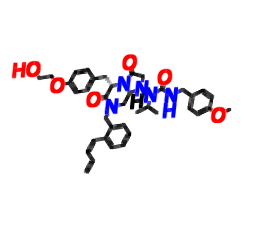 C=C/C=C\c1ccccc1CN1C[C@H]2N(C(=O)CN2N(C(=O)NCc2ccc(OC)cc2)C(C)C)[C@@H](Cc2ccc(OCCO)cc2)C1=O